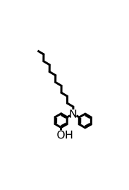 CCCCCCCCCCCCN(c1ccccc1)c1cccc(O)c1